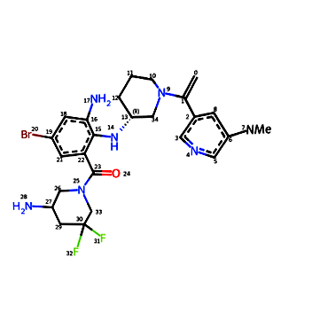 C=C(c1cncc(NC)c1)N1CCC[C@@H](Nc2c(N)cc(Br)cc2C(=O)N2CC(N)CC(F)(F)C2)C1